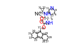 N#CC1(NC(=O)[C@H](Cc2ccncc2)NC(=O)OCC2c3ccccc3-c3ccccc32)CC1